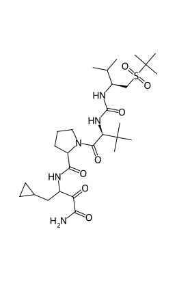 CC(C)[C@@H](CS(=O)(=O)C(C)(C)C)NC(=O)N[C@H](C(=O)N1CCCC1C(=O)NC(CC1CC1)C(=O)C(N)=O)C(C)(C)C